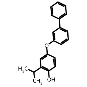 CC(C)c1cc(Oc2cccc(-c3ccccc3)c2)ccc1O